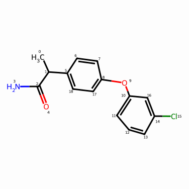 CC(C(N)=O)c1ccc(Oc2cccc(Cl)c2)cc1